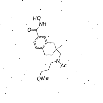 COCCCN(CC1(C)CCc2ccc(C(=O)NO)cc2C1)C(C)=O